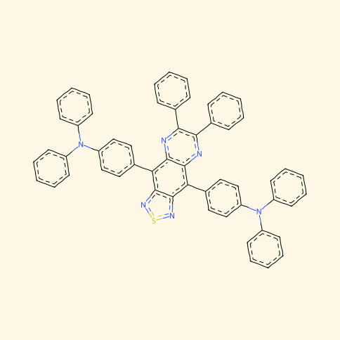 c1ccc(-c2nc3c(-c4ccc(N(c5ccccc5)c5ccccc5)cc4)c4nsnc4c(-c4ccc(N(c5ccccc5)c5ccccc5)cc4)c3nc2-c2ccccc2)cc1